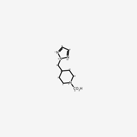 O=C(O)N1CCC(Cn2nccn2)CC1